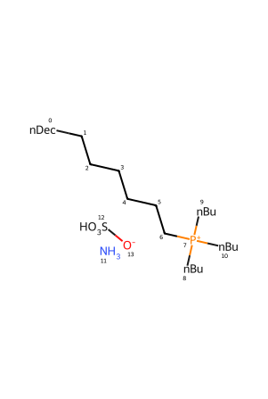 CCCCCCCCCCCCCCCC[P+](CCCC)(CCCC)CCCC.N.O=S(=O)([O-])O